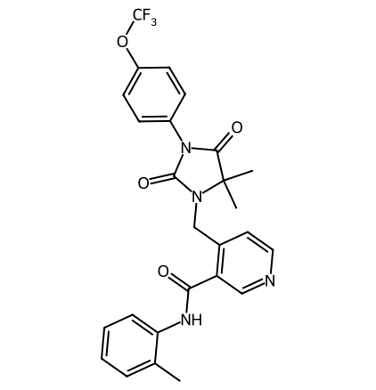 Cc1ccccc1NC(=O)c1cnccc1CN1C(=O)N(c2ccc(OC(F)(F)F)cc2)C(=O)C1(C)C